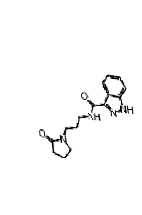 O=C(NCCCN1CCCC1=O)c1n[nH]c2ccccc12